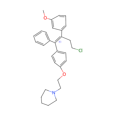 COc1cccc(/C(CCCl)=C(\c2ccccc2)c2ccc(OCCN3CCCCC3)cc2)c1